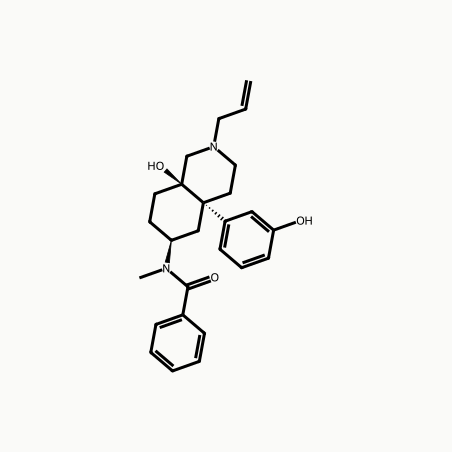 C=CCN1CC[C@@]2(c3cccc(O)c3)C[C@@H](N(C)C(=O)c3ccccc3)CC[C@]2(O)C1